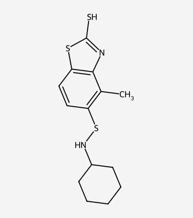 Cc1c(SNC2CCCCC2)ccc2sc(S)nc12